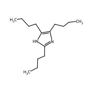 CCCCc1nc(CCCC)c(CCCC)[nH]1